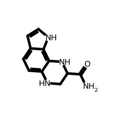 NC(=O)C1CNc2ccc3cc[nH]c3c2N1